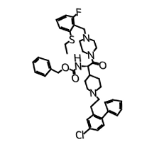 CCSc1cccc(F)c1CN1CCN(C(=O)[C@H](NC(=O)OCc2ccccc2)C2CCN(CCc3cc(Cl)ccc3-c3ccccc3)CC2)CC1